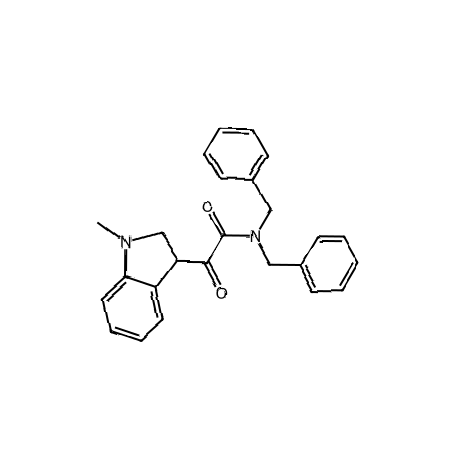 CN1CC(C(=O)C(=O)N(Cc2ccccc2)Cc2ccccc2)c2ccccc21